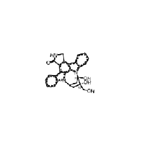 O=C1NCc2c1c1c3ccccc3n3c1c1c2c2ccccc2n1[C@@]1(O)CC3C[C@]1(O)CO